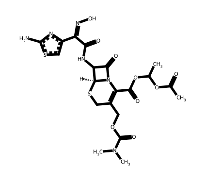 CC(=O)OC(C)OC(=O)C1=C(COC(=O)N(C)C)CS[C@H]2C(NC(=O)/C(=N\O)c3csc(N)n3)C(=O)N12